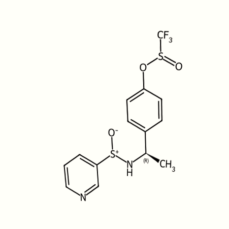 C[C@@H](N[S+]([O-])c1cccnc1)c1ccc(OS(=O)C(F)(F)F)cc1